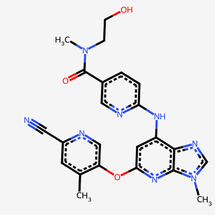 Cc1cc(C#N)ncc1Oc1cc(Nc2ccc(C(=O)N(C)CCO)cn2)c2ncn(C)c2n1